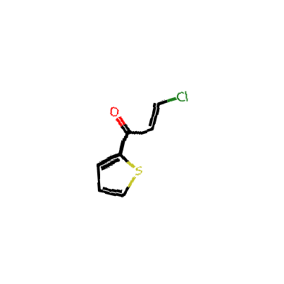 O=C(C=CCl)c1cccs1